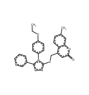 CCOc1ccc(-n2c(SCc3cc(=O)oc4cc(C)ccc34)nnc2-c2cccnc2)cc1